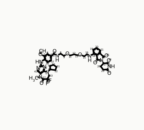 COc1cc(C(=O)NCCOCCCOCCNc2cccc3c2C(=O)N(C2CCC(=O)NC2=O)C3=O)ccc1Nc1ncc2c(n1)N(C1CCCC1)CC(F)(F)C(=O)N2C